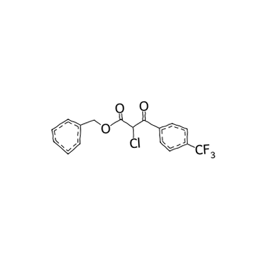 O=C(OCc1ccccc1)C(Cl)C(=O)c1ccc(C(F)(F)F)cc1